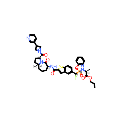 CCCOC(=O)[C@H](C)N[P@](=O)(Oc1ccccc1)[C@@H](F)c1ccc2sc(C(=O)N[C@H]3CCC[C@H]4CC[C@@H](C(=O)N5CC(c6cccnc6)C5)N4C3=O)cc2c1